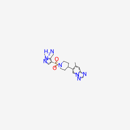 Cc1cc2ncnn2cc1C1CCN(S(=O)(=O)c2cnn(C)c2CN)CC1